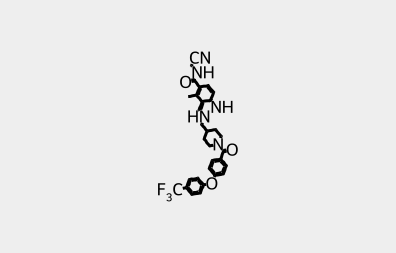 CC1=C(C(=O)NCC#N)C=CC(=N)/C1=C\NCC1CCN(C(=O)c2ccc(Oc3ccc(C(F)(F)F)cc3)cc2)CC1